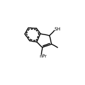 CCCC1=C(C)C(S)c2ccccc21